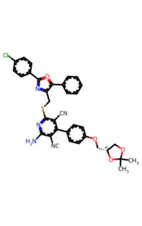 [C-]#[N+]c1c(N)nc(SCc2nc(-c3ccc(Cl)cc3)oc2-c2ccccc2)c(C#N)c1-c1ccc(OC[C@@H]2COC(C)(C)O2)cc1